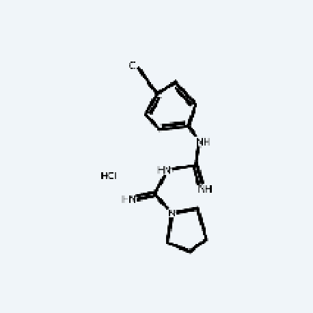 Cl.N=C(NC(=N)N1CCCC1)Nc1ccc(Cl)cc1